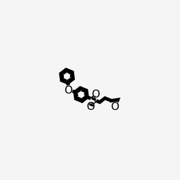 O=S(=O)(CCC1CO1)c1ccc(Oc2ccccc2)cc1